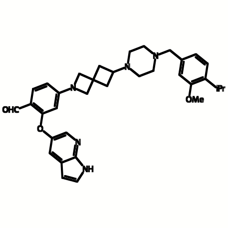 COc1cc(CN2CCN(C3CC4(C3)CN(c3ccc(C=O)c(Oc5cnc6[nH]ccc6c5)c3)C4)CC2)ccc1C(C)C